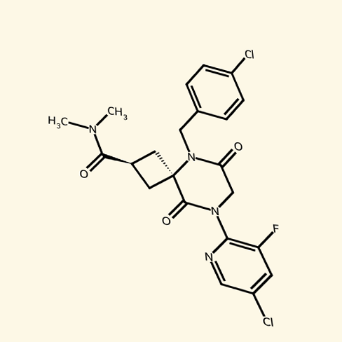 CN(C)C(=O)[C@H]1C[C@@]2(C1)C(=O)N(c1ncc(Cl)cc1F)CC(=O)N2Cc1ccc(Cl)cc1